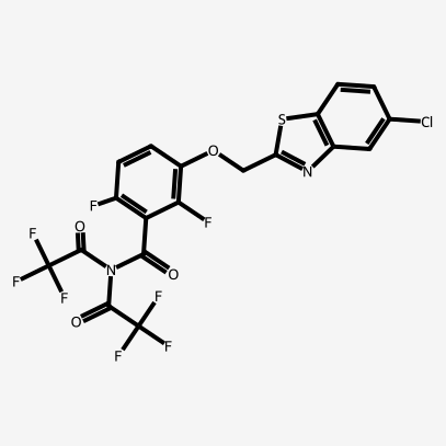 O=C(c1c(F)ccc(OCc2nc3cc(Cl)ccc3s2)c1F)N(C(=O)C(F)(F)F)C(=O)C(F)(F)F